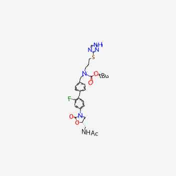 CC(=O)NC[C@H]1CN(c2ccc(-c3ccc(CN(CCCSc4nc[nH]n4)C(=O)OC(C)(C)C)cc3)c(F)c2)C(=O)O1